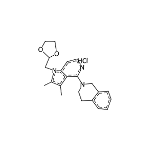 Cc1c(C)n(CC2OCCO2)c2ccnc(N3CCc4ccccc4C3)c12.Cl